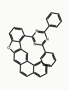 c1ccc(-c2nc(-c3ccccc3)nc(-c3cccc4oc5cc6ccc7ccccc7c6cc5c34)n2)cc1